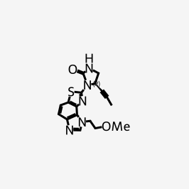 CC#C[C@@H]1CNC(=O)N1c1nc2c(ccc3ncn(CCOC)c32)s1